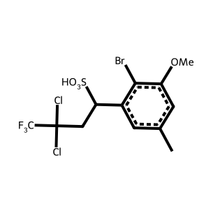 COc1cc(C)cc(C(CC(Cl)(Cl)C(F)(F)F)S(=O)(=O)O)c1Br